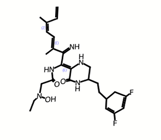 C=C/C(C)=C\C=C(/C)C(=N)/C(NC(=O)CN(O)CC)=C1\NCC(CCC2C=C(F)C=C(F)C2)NC1=O